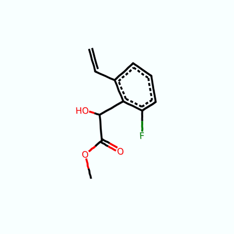 C=Cc1cccc(F)c1C(O)C(=O)OC